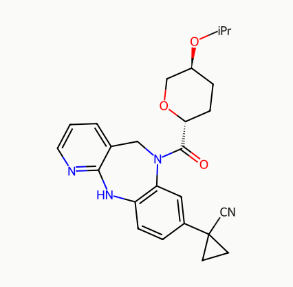 CC(C)O[C@H]1CC[C@H](C(=O)N2Cc3cccnc3Nc3ccc(C4(C#N)CC4)cc32)OC1